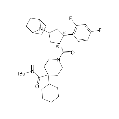 CC(C)(C)NC(=O)C1(C2CCCCC2)CCN(C(=O)[C@@H]2CC(N3C4CCC3CC4)C[C@H]2c2ccc(F)cc2F)CC1